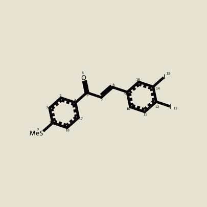 CSc1ccc(C(=O)C=Cc2ccc(I)c(I)c2)cc1